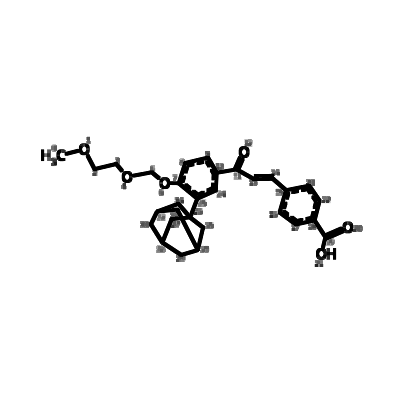 COCCOCOc1ccc(C(=O)C=Cc2ccc(C(=O)O)cc2)cc1C12CC3CC(CC(C3)C1)C2